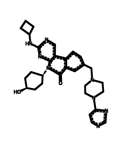 O=c1c2cc(CN3CCN(c4ccncn4)CC3)ccc2c2cnc(NC3CCC3)nc2n1[C@H]1CC[C@H](O)CC1